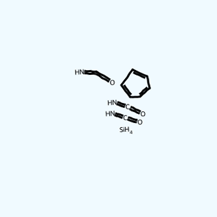 N=C=O.N=C=O.N=C=O.[SiH4].c1ccccc1